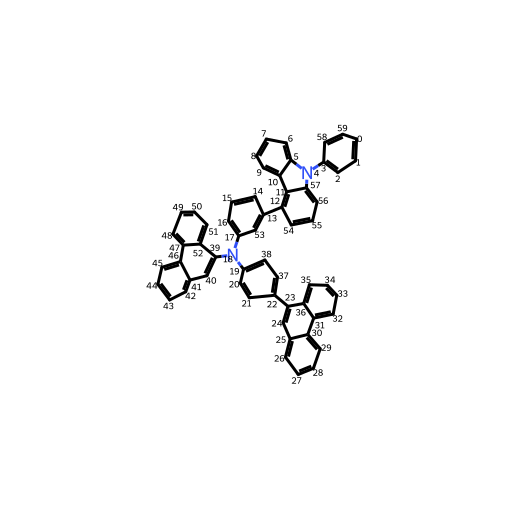 c1ccc(-n2c3ccccc3c3c(-c4cccc(N(c5ccc(-c6cc7ccccc7c7ccccc67)cc5)c5cc6ccccc6c6ccccc56)c4)cccc32)cc1